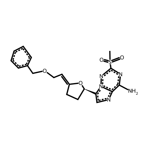 CS(=O)(=O)c1nc(N)c2ncc([C@H]3CC/C(=C\COCc4ccccc4)O3)n2n1